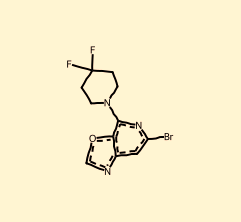 FC1(F)CCN(c2nc(Br)cc3ncoc23)CC1